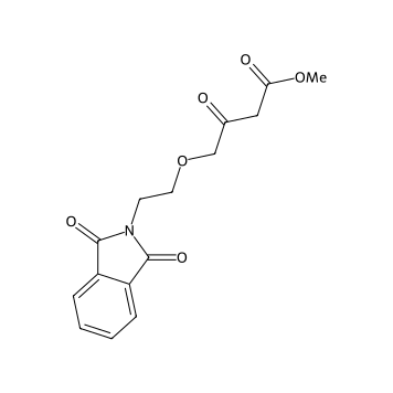 COC(=O)CC(=O)COCCN1C(=O)c2ccccc2C1=O